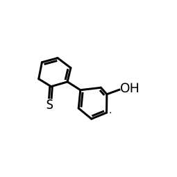 Oc1[c]ccc(C2=CC=CCC2=S)c1